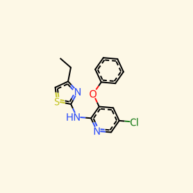 CCc1csc(Nc2ncc(Cl)cc2Oc2ccccc2)n1